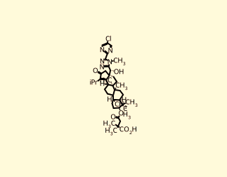 CC(C)C1=C2[C@H]3CC[C@@H]4[C@@]5(C)CC[C@H](OC(=O)CC(C)(C)C(=O)O)C(C)(C)[C@@H]5CC[C@@]4(C)[C@]3(C)CC[C@@]2([C@@H](O)c2nnc(-c3ncc(Cl)cn3)n2C)CC1=O